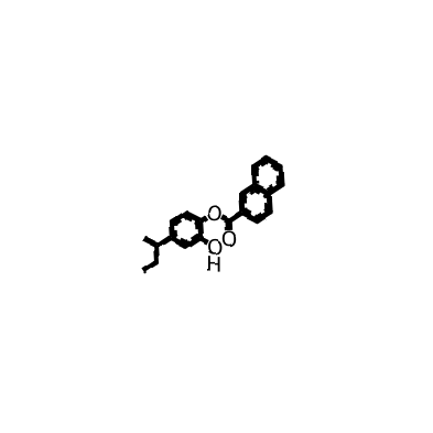 CCC(C)c1ccc(OC(=O)c2ccc3ccccc3c2)c(O)c1